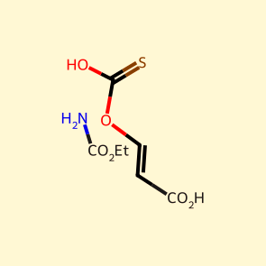 CCOC(N)=O.O=C(O)C=COC(O)=S